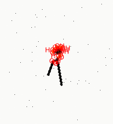 C#CC#CC#CC#CC(=O)OC[C@H](COP(=O)(O)OC1C[C@@H](OP(=O)(O)O)C(OP(=O)(O)O)[C@@H](OP(=O)(O)O)[C@H]1O)OC(=O)CCCCCCCCCCCCCCC